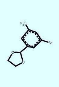 FC(F)(F)c1cc(Br)cc(C2OCCO2)c1